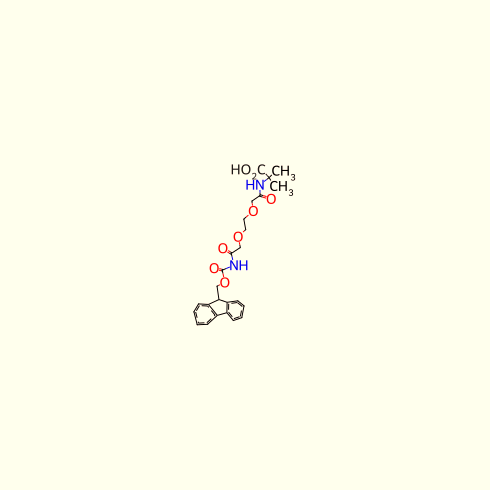 CC(C)(NC(=O)COCCOCC(=O)NC(=O)OCC1c2ccccc2-c2ccccc21)C(=O)O